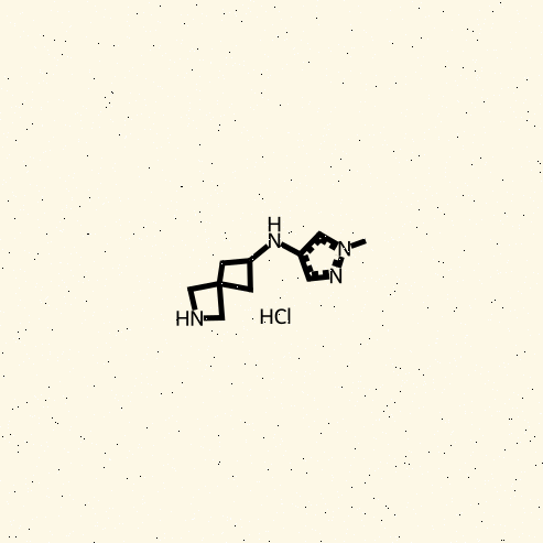 Cl.Cn1cc(NC2CC3(CNC3)C2)cn1